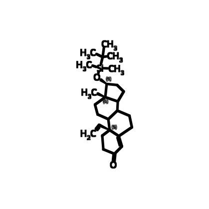 C=C[C@]12CCC(=O)C=C1CCC1C2CC[C@@]2(C)C1CC[C@@H]2O[Si](C)(C)C(C)(C)C